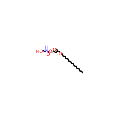 CCCCCCCCCCCCCCCCOC[C@@H]1CO[C@@H](COC(=O)NCCO)C1